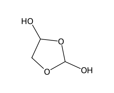 OC1COC(O)O1